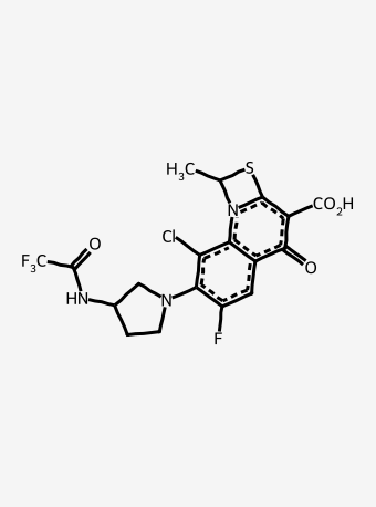 CC1Sc2c(C(=O)O)c(=O)c3cc(F)c(N4CCC(NC(=O)C(F)(F)F)C4)c(Cl)c3n21